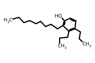 CCCCCCCCCc1c(O)ccc(CCC)c1CCC